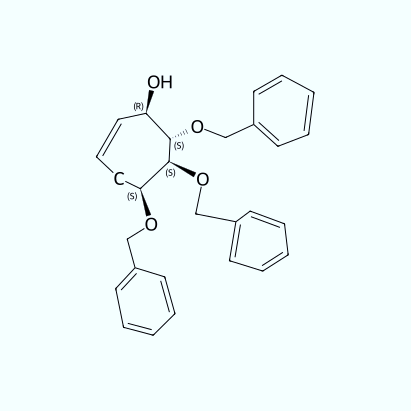 O[C@@H]1C=CC[C@H](OCc2ccccc2)[C@H](OCc2ccccc2)[C@H]1OCc1ccccc1